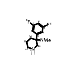 CNC1(c2cc(F)cc(F)c2)CCCNC1